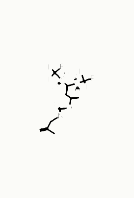 C=C(C)CNC(=O)OC(C)CC(S(=O)(=O)C(F)(F)F)S(=O)(=O)C(F)(F)F